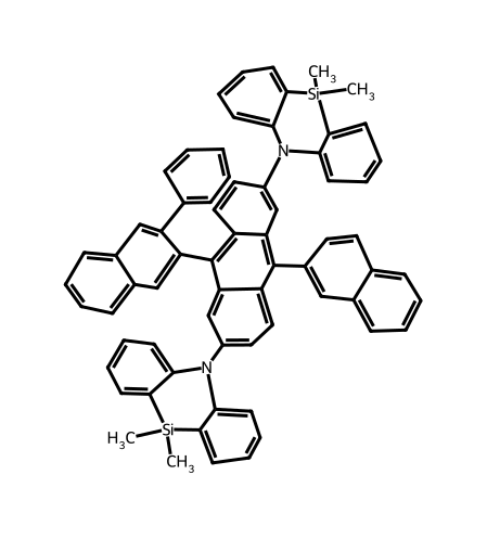 C[Si]1(C)c2ccccc2N(c2ccc3c(-c4cc5ccccc5cc4-c4ccccc4)c4cc(N5c6ccccc6[Si](C)(C)c6ccccc65)ccc4c(-c4ccc5ccccc5c4)c3c2)c2ccccc21